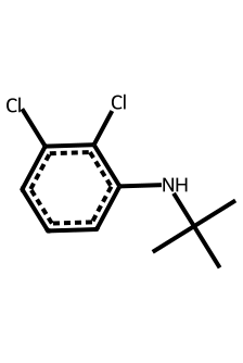 CC(C)(C)Nc1cccc(Cl)c1Cl